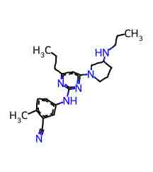 CCCNC1CCCN(c2cc(CCC)nc(Nc3ccc(C)c(C#N)c3)n2)C1